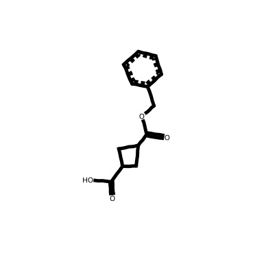 O=C(O)C1CC(C(=O)OCc2ccccc2)C1